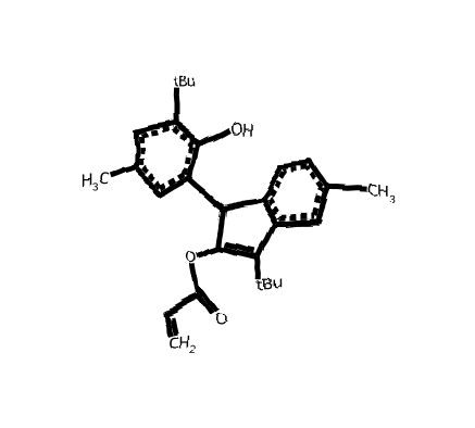 C=CC(=O)OC1=C(C(C)(C)C)c2cc(C)ccc2C1c1cc(C)cc(C(C)(C)C)c1O